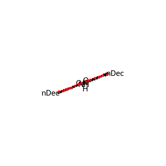 CCCCCCCCCCCCCCCCCCCCCCCCCCCCCC(=O)NCCCNC(=O)CCCCCCCCCCCCCCCCCCCCCCCCCCCCC